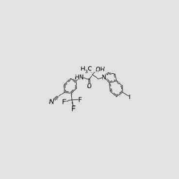 C[C@](O)(Cn1ccc2cc(I)ccc21)C(=O)Nc1ccc(C#N)c(C(F)(F)F)c1